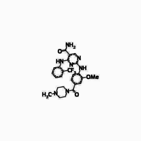 COc1cc(C(=O)N2CCN(C)CC2)ccc1Nc1ncc(C(N)=O)c(Nc2ccccc2C(F)(F)F)n1